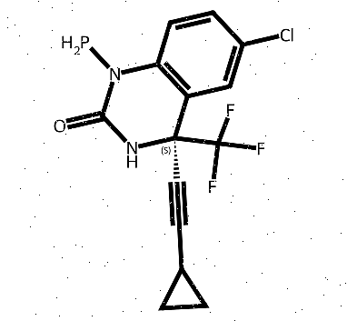 O=C1N[C@](C#CC2CC2)(C(F)(F)F)c2cc(Cl)ccc2N1P